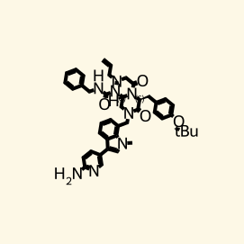 C=CCN1CC(=O)N2[C@@H](Cc3ccc(OC(C)(C)C)cc3)C(=O)N(Cc3cccc4c(-c5ccc(N)nc5)cn(C)c34)C[C@@H]2N1C(=O)NCc1ccccc1